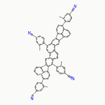 Cc1cc(C#N)ccc1-c1ccc2c3c(cccc13)-c1cc3c(cc1-2)c(-c1ccc(C#N)cc1C)cc1c2cc4c(c(-c5ccc(C#N)cc5C)c2ccc31)-c1ccc(-c2ccc(C#N)cc2C)c2cccc-4c12